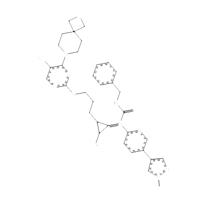 CCCC1/C(=[N+](/C(=O)NCc2ccccc2)c2ccc(-c3cnn(C)c3)cn2)C1CCCNc1ncc(C#N)c(N2CCC3(CC2)COC3)n1